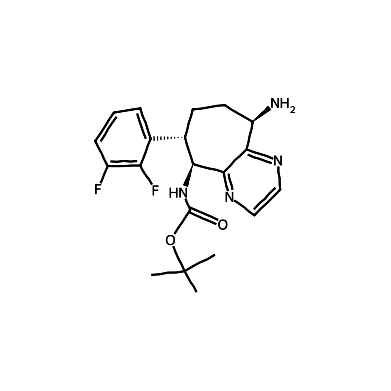 CC(C)(C)OC(=O)N[C@@H]1c2nccnc2[C@H](N)CC[C@H]1c1cccc(F)c1F